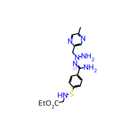 CCOC(=O)CNSc1ccc(/C(N)=N/N(N)Cc2cnc(C)cn2)cc1